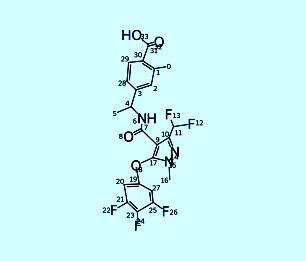 Cc1cc(C(C)NC(=O)c2c(C(F)F)nn(C)c2Oc2cc(F)c(F)c(F)c2)ccc1C(=O)O